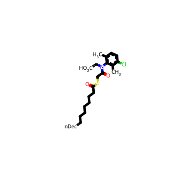 CCCCCCCCCCCCCCCCCC(=O)SCC(=O)N(CC(=O)O)c1c(C)ccc(Cl)c1C